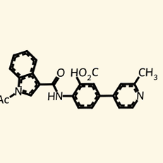 CC(=O)n1cc(C(=O)Nc2ccc(-c3ccnc(C)c3)cc2C(=O)O)c2ccccc21